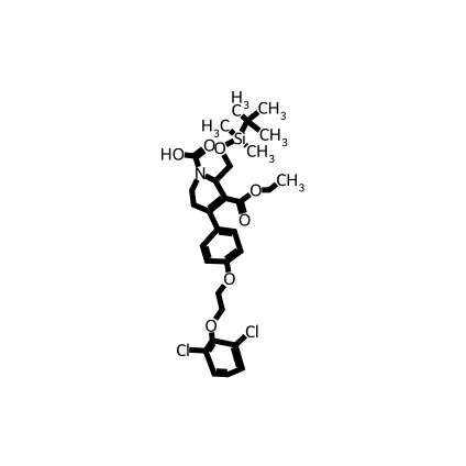 CCOC(=O)C1=C(c2ccc(OCCOc3c(Cl)cccc3Cl)cc2)CCN(C(=O)O)C1CO[Si](C)(C)C(C)(C)C